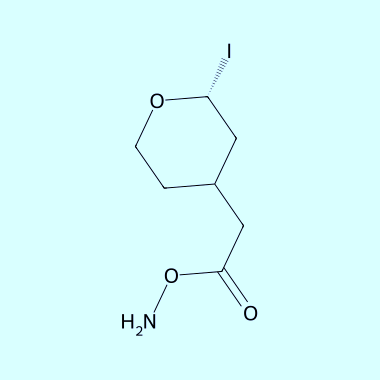 NOC(=O)CC1CCO[C@H](I)C1